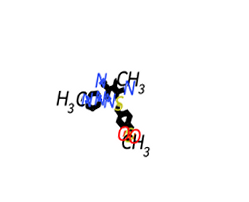 CCc1c(C#N)c(SCc2ccc(CS(C)(=O)=O)cc2)nc(N2CCCN(C)CC2)c1C#N